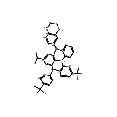 CC(C)c1cc2c3c(c1)N(c1ccc(C(C)(C)C)cc1)c1ccc(C(C)(C)C)cc1B3c1ccccc1N2c1ccc2c(c1)OCCO2